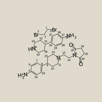 BrCCBr.Nc1ccc(C2CCN(CCN3C(=O)CCC3=O)CC2)cc1.Nc1ccc(C2CCNCC2)cc1